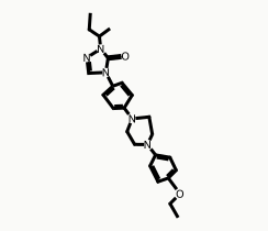 CCOc1ccc(N2CCN(c3ccc(-n4cnn(C(C)CC)c4=O)cc3)CC2)cc1